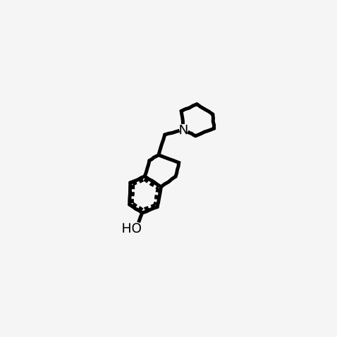 Oc1ccc2c(c1)CCC(CN1CCCCC1)C2